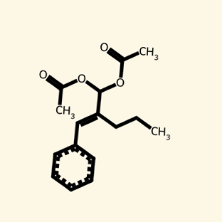 CCC/C(=C\c1ccccc1)C(OC(C)=O)OC(C)=O